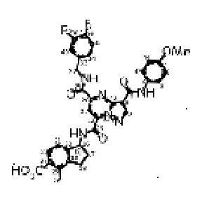 COc1ccc(NC(=O)c2cnn3c(C(=O)N[C@H]4CCc5c4ccc(C(=O)O)c5C)cc(C(=O)NCc4ccc(F)c(F)c4)nc23)cc1